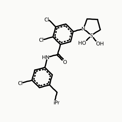 CC(C)Cc1cc(Cl)cc(NC(=O)c2cc(N3CCCS3(O)O)cc(Cl)c2Cl)c1